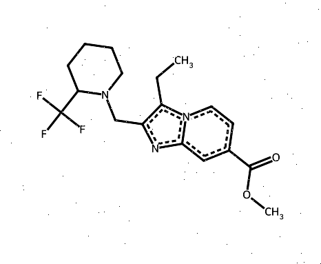 CCc1c(CN2CCCCC2C(F)(F)F)nc2cc(C(=O)OC)ccn12